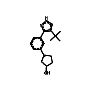 CC(C)(C)c1c[nH]nc1-c1cccc(N2CCC(O)C2)c1